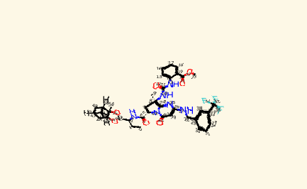 CC[C@H](NC(=O)[C@@H]1C[C@@](C)(NC(=O)Nc2ccccc2C(=O)OC)c2nc(NCc3cccc(C(F)(F)F)c3)cc(=O)n21)B1O[C@@H]2C[C@@H]3C[C@@H](C3(C)C)[C@]2(C)O1